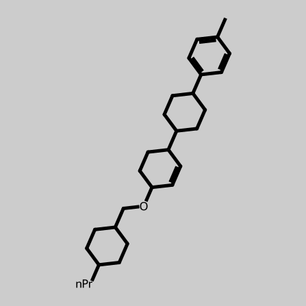 CCCC1CCC(COC2C=CC(C3CCC(c4ccc(C)cc4)CC3)CC2)CC1